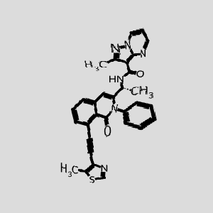 Cc1nn2cccnc2c1C(=O)N[C@H](C)c1cc2cccc(C#Cc3ncsc3C)c2c(=O)n1-c1ccccc1